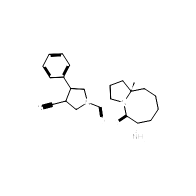 N#CC1CN(C(=O)[C@@H]2CC[C@@H]3CCCC[C@H](N)C(=O)N32)CC1c1ccccc1